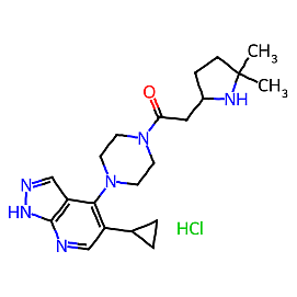 CC1(C)CCC(CC(=O)N2CCN(c3c(C4CC4)cnc4[nH]ncc34)CC2)N1.Cl